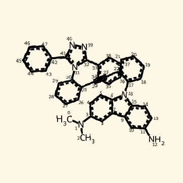 CN(C)c1ccc2c(c1)c1cc(N)ccc1n2-c1ccccc1C#Cc1ccccc1-n1c(-c2ccccc2)nnc1-c1ccccc1